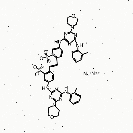 Cc1ccccc1Nc1nc(Nc2ccc(C=Cc3ccc(Nc4nc(Nc5ccccc5C)nc(N5CCOCC5)n4)cc3S(=O)(=O)[O-])c(S(=O)(=O)[O-])c2)nc(N2CCOCC2)n1.[Na+].[Na+]